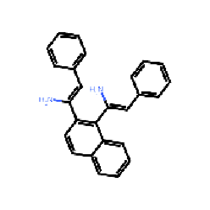 NC(=Cc1ccccc1)c1ccc2ccccc2c1C(N)=Cc1ccccc1